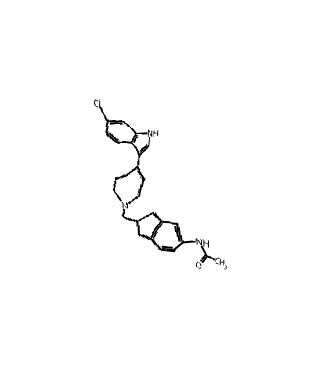 CC(=O)Nc1ccc2c(c1)CC(CN1CCC(c3c[nH]c4cc(Cl)ccc34)CC1)C2